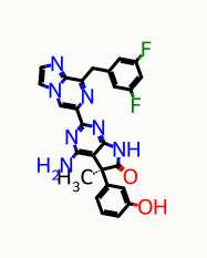 C[C@@]1(c2cccc(O)c2)C(=O)Nc2nc(-c3cn4ccnc4c(Cc4cc(F)cc(F)c4)n3)nc(N)c21